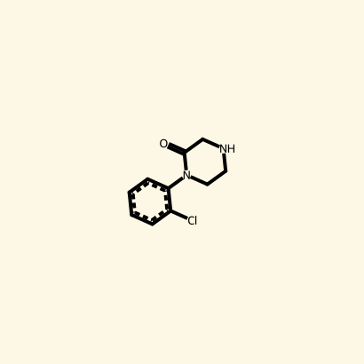 O=C1CNCCN1c1ccccc1Cl